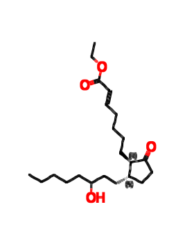 CCCCCC(O)CC[C@H]1CCC(=O)[C@@H]1CCCCC=CC(=O)OCC